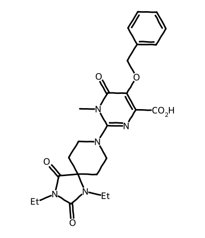 CCN1C(=O)N(CC)C2(CCN(c3nc(C(=O)O)c(OCc4ccccc4)c(=O)n3C)CC2)C1=O